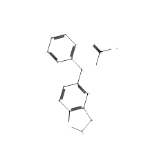 O=C(O)C[C@@H](c1ccccc1)c1ccc2c(c1)CCN2